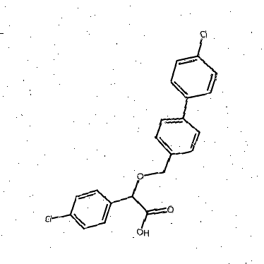 O=C(O)C(OCc1ccc(-c2ccc(Cl)cc2)cc1)c1ccc(Cl)cc1